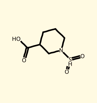 O=C(O)C1CCCN([SH](=O)=O)C1